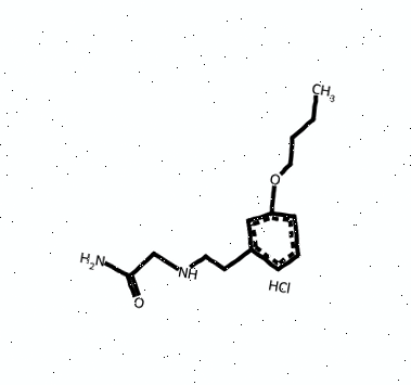 CCCCOc1cccc(CCNCC(N)=O)c1.Cl